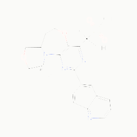 C[C@@H]1COCC2CCOc3c(nc(-c4ccc5ncccc5c4)nc3C(C)(C)S(C)(=O)=O)N21